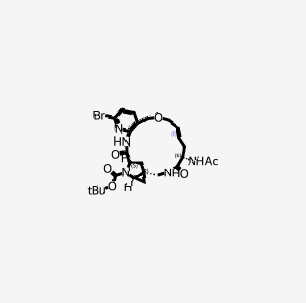 CC(=O)N[C@H]1C/C=C/COCc2ccc(Br)nc2NC(=O)[C@@H]2C[C@@]3(CNC1=O)C[C@H]3N2C(=O)OC(C)(C)C